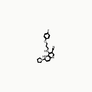 N#Cc1cnc2c(c1NCCCOc1ccc(F)cc1)NC(N1CCCC1)C=C2